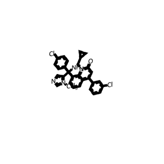 Cn1cncc1C(N)(c1ccc(Cl)cc1)c1cccc2c(-c3cccc(Cl)c3)cc(=O)n(CC3CC3)c12